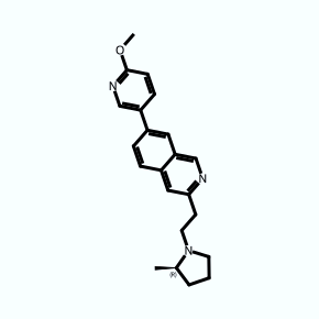 COc1ccc(-c2ccc3cc(CCN4CCC[C@H]4C)ncc3c2)cn1